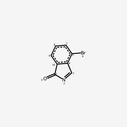 O=C1N=Cc2c(Br)cccc21